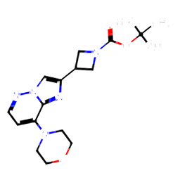 CC(C)(C)OC(=O)N1CC(c2cn3nccc(N4CCOCC4)c3n2)C1